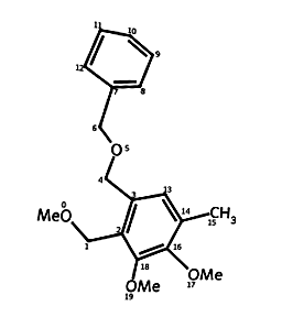 COCc1c(COCc2ccccc2)cc(C)c(OC)c1OC